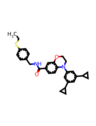 CCSc1ccc(CNC(=O)c2ccc3c(c2)OCCN3c2cc(C3CC3)cc(C3CC3)c2)cc1